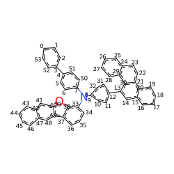 c1ccc(-c2ccc(N(c3ccc(-c4cc5ccccc5c5ccc6ccccc6c45)cc3)c3cccc4c3oc3cc5ccccc5cc34)cc2)cc1